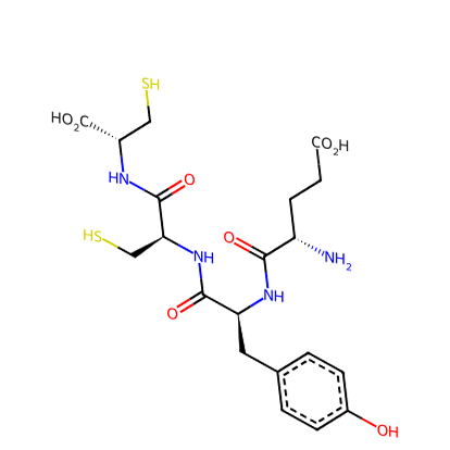 N[C@@H](CCC(=O)O)C(=O)N[C@@H](Cc1ccc(O)cc1)C(=O)N[C@@H](CS)C(=O)N[C@@H](CS)C(=O)O